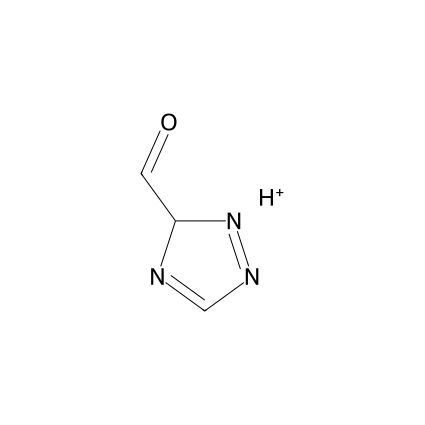 O=CC1N=CN=N1.[H+]